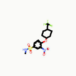 CNS(=O)(=O)c1ccc(OC2CCC(C(F)(F)F)CC2)c([N+](=O)[O-])c1